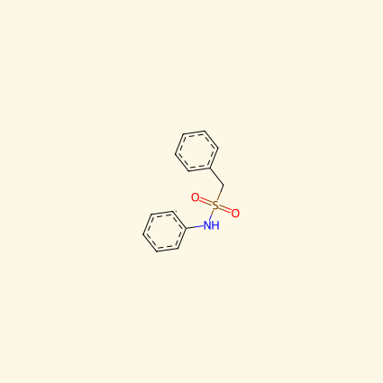 O=S(=O)(Cc1ccccc1)Nc1[c]cccc1